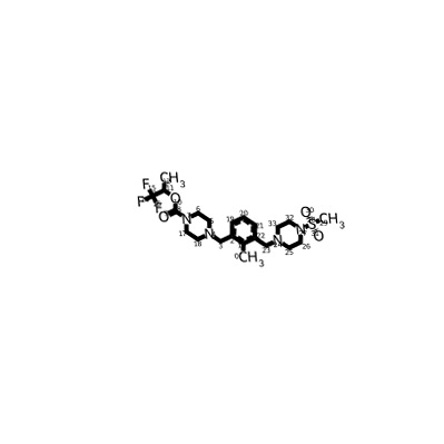 Cc1c(CN2CCN(C(=O)OC(C)C(F)(F)F)CC2)cccc1CN1CCN(S(C)(=O)=O)CC1